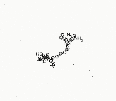 Cc1cc(C(C(=O)N2C[C@H](O)C[C@H]2C(=O)NCc2ccc(-c3scnc3C)cc2OCCOCCOCCO[C@@H]2C[C@@H](COc3nc4c(c(N5CCN(C(N)=O)[C@@H](CC#N)C5)n3)CCN(c3cccc5ccccc35)C4)N(C)C2)C(C)C)on1